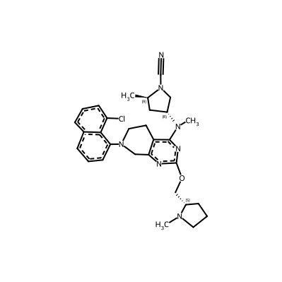 C[C@@H]1C[C@@H](N(C)c2nc(OC[C@@H]3CCCN3C)nc3c2CCN(c2cccc4cccc(Cl)c24)C3)CN1C#N